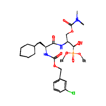 CCOP(=O)(OCC)C(O)C(COC(=O)N(C)C)NC(=O)[C@H](CC1CCCCC1)NC(=O)OCc1cccc(Cl)c1